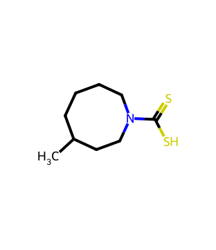 CC1CCCCN(C(=S)S)CC1